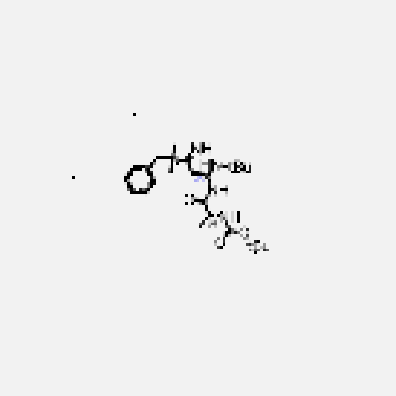 C[C@H](NC(=O)OC(C)(C)C)C(=O)N/C(=C/C(=N)C(C)(C)Cc1ccccc1)NC(C)(C)C